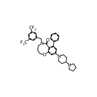 O=C1c2c(cc(N3CCC(N4CCCC4)CC3)cc2-c2ccccc2)OCCCN1Cc1cc(C(F)(F)F)cc(C(F)(F)F)c1